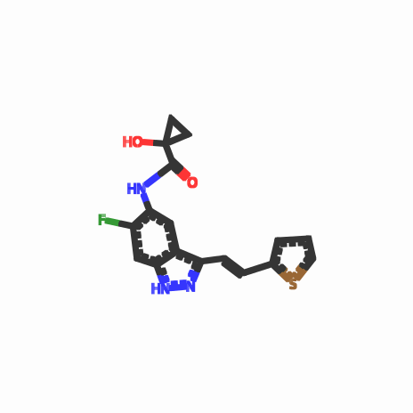 O=C(Nc1cc2c(/C=C/c3cccs3)n[nH]c2cc1F)C1(O)CC1